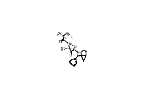 CCN(C(=O)[C@@H](NC(=O)[C@@H](N)C(C)C)C(C)C)C1C2CCC3CC32C1c1ccccc1